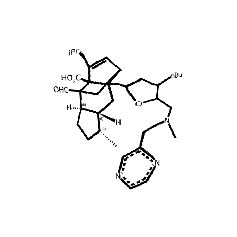 CCCCC1CC(C23C[C@@H]4[C@H](C)CC[C@H]4C4(C=O)CC2C=C(C(C)C)C34C(=O)O)OC1CN(C)Cc1cnccn1